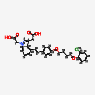 O=C(O)Cc1cn(CC(=O)O)c2cccc(/C=C/c3ccc(OCCCCOc4ccccc4Cl)cc3)c12